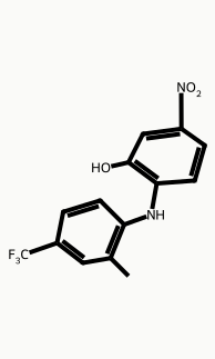 Cc1cc(C(F)(F)F)ccc1Nc1ccc([N+](=O)[O-])cc1O